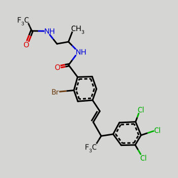 CC(CNC(=O)C(F)(F)F)NC(=O)c1ccc(/C=C/C(c2cc(Cl)c(Cl)c(Cl)c2)C(F)(F)F)cc1Br